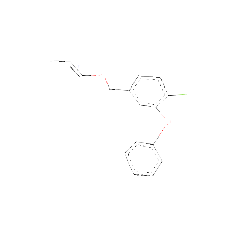 CC(C)(C)/C=C/OCc1ccc(F)c(Oc2ccccc2)c1